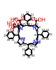 O=C(O)C1=Cc2nc1c(-c1ccccc1)c1c(C(=O)O)c(C(=O)O)c(c(-c3ccccc3)c3nc(c(-c4ccccc4)c4ccc([nH]4)c2-c2ccccc2)C=C3)n1C(=O)O